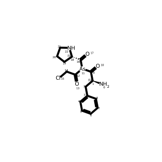 N[C@@H](Cc1ccccc1)C(=O)[As](C(=O)CCl)C(=O)[C@@H]1CCCN1